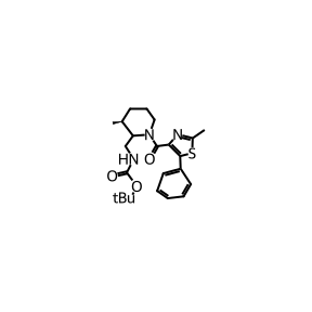 Cc1nc(C(=O)N2CCC[C@H](C)C2CNC(=O)OC(C)(C)C)c(-c2ccccc2)s1